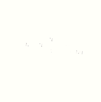 NC(=O)c1ccccc1CSc1nccc(-c2ccccn2)n1